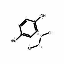 CC(C)(C)c1ccc(O)cc1.ClSSCl